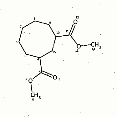 COC(=O)C1CCCCCC(C(=O)OC)C1